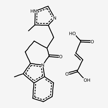 Cc1[nH]cnc1CC1CCc2c(C)c3ccccc3n2C1=O.O=C(O)C=CC(=O)O